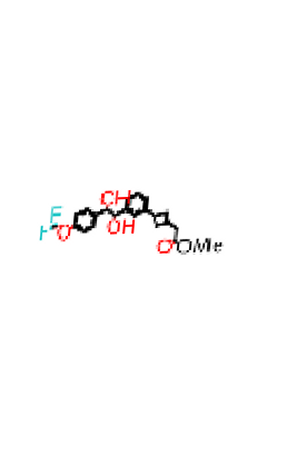 COC(=O)CC1CC(c2cccc(C(O)C(O)c3ccc(OC(F)F)cc3)c2)C1